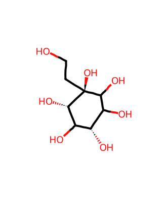 OCC[C@]1(O)C(O)C(O)[C@H](O)C(O)[C@@H]1O